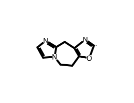 [c]1nc2c(o1)CCn1ccnc1C2